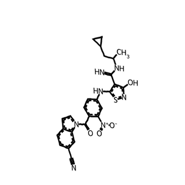 CC(CC1CC1)NC(=N)c1c(O)nsc1Nc1ccc(C(=O)n2ccc3ccc(C#N)cc32)c([N+](=O)[O-])c1